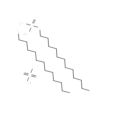 CCCCCCCCCCCCOP(=O)(O)O.CCCCCCCCCCC[CH2][Na].O=S(=O)(O)O